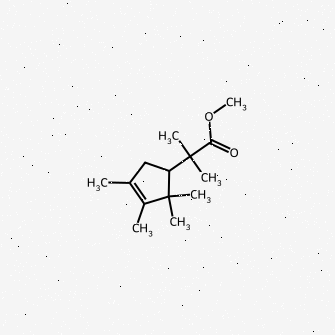 COC(=O)C(C)(C)C1CC(C)=C(C)C1(C)C